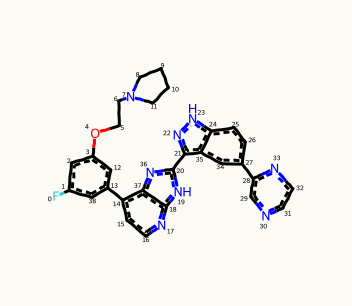 Fc1cc(OCCN2CCCC2)cc(-c2ccnc3[nH]c(-c4n[nH]c5ccc(-c6cnccn6)cc45)nc23)c1